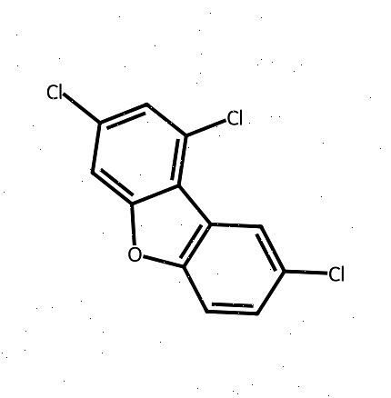 Clc1cc(Cl)c2c(c1)oc1ccc(Cl)cc12